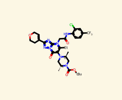 CCc1c(N2C[C@@H](C)N(C(=O)OC(C)(C)C)C[C@@H]2C)c(=O)n2nc(C3=CCOCC3)nc2n1CC(=O)Nc1ccc(C(F)(F)F)cc1Cl